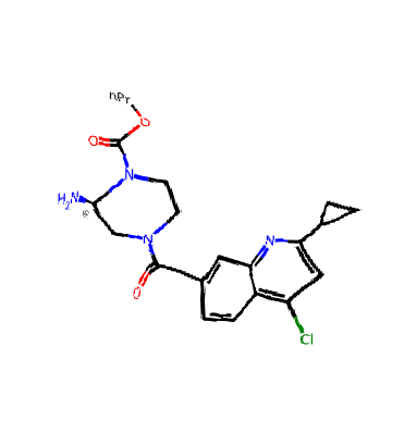 CCCOC(=O)N1CCN(C(=O)c2ccc3c(Cl)cc(C4CC4)nc3c2)C[C@H]1N